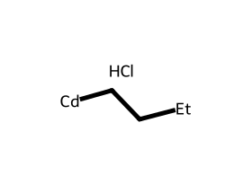 CCC[CH2][Cd].Cl